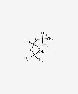 CC(C)(C)O[Si](O)(O)OC(C)(C)C